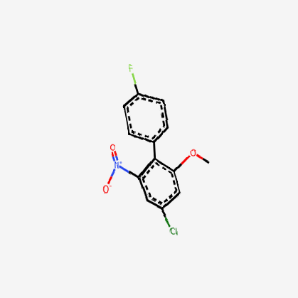 COc1cc(Cl)cc([N+](=O)[O-])c1-c1ccc(F)cc1